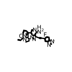 C=CC(=O)N1CC[C@H](n2nc(C#Cc3cc4ncn(C)c4cc3F)c3c(N)ncc(-c4cccnn4)c32)C1